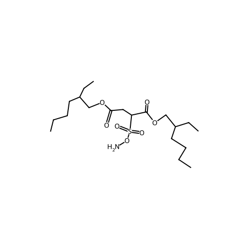 CCCCC(CC)COC(=O)CC(C(=O)OCC(CC)CCCC)S(=O)(=O)ON